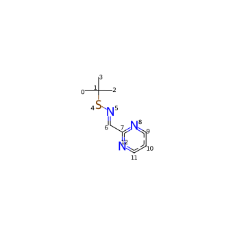 CC(C)(C)S/N=C/c1ncccn1